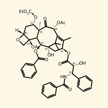 CCOC(=O)O[C@H]1C[C@H]2OC[C@@]2(OC(C)=O)C2[C@H](OC(=O)c3ccccc3)[C@]3(O)C[C@H](OC(=O)[C@H](O)[C@@H](NC(=O)c4ccccc4)c4ccccc4)C(C)=C([C@@H](OC(C)=O)C(=O)[C@@]21C)C3(C)C